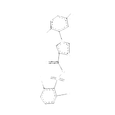 O=C(NS(=O)(=O)c1c(Cl)cccc1Cl)c1cn(-c2cc(Cl)ccc2Cl)cn1